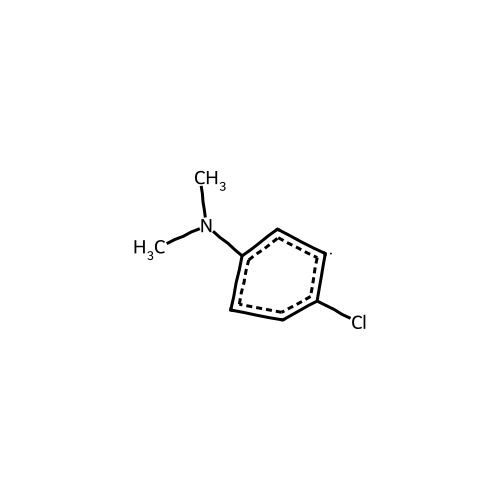 CN(C)c1c[c]c(Cl)cc1